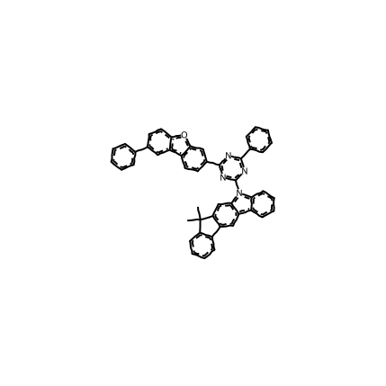 CC1(C)c2ccccc2-c2cc3c4ccccc4n(-c4nc(-c5ccccc5)nc(-c5ccc6c(c5)oc5ccc(-c7ccccc7)cc56)n4)c3cc21